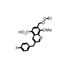 CCOOCc1cc(C(=O)O)c2cc(Cc3ccc(F)cc3)cnc2c1OC